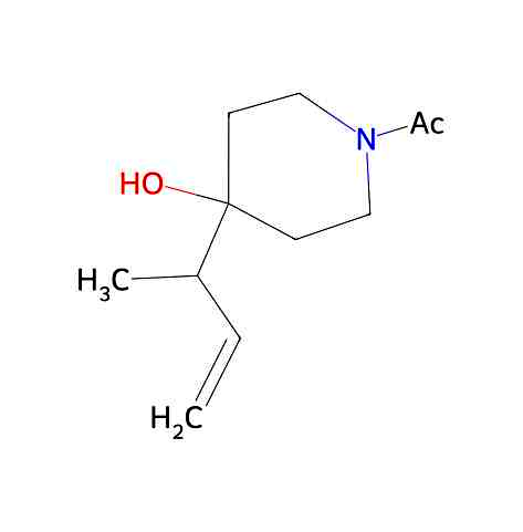 C=CC(C)C1(O)CCN(C(C)=O)CC1